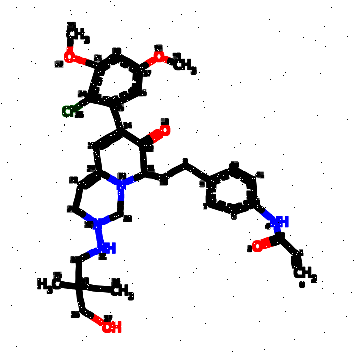 C=CC(=O)Nc1ccc(CCC2C(=O)C(c3cc(OC)cc(OC)c3Cl)=CC3=CCN(NCC(C)(C)CO)CN32)cc1